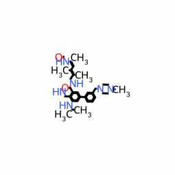 C/C(=C/C(C)=C(\C)CNC(=O)c1cc(-c2cccc(CN3CCN(C)CC3)c2)cc(NC(C)C)c1C=N)NC=O